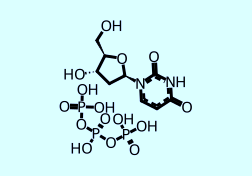 O=P(O)(O)OP(=O)(O)OP(=O)(O)O.O=c1ccn([C@H]2C[C@H](O)[C@@H](CO)O2)c(=O)[nH]1